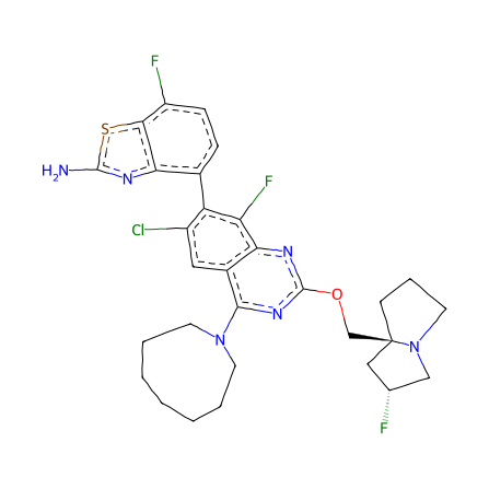 Nc1nc2c(-c3c(Cl)cc4c(N5CCCCCCC5)nc(OC[C@@]56CCCN5C[C@H](F)C6)nc4c3F)ccc(F)c2s1